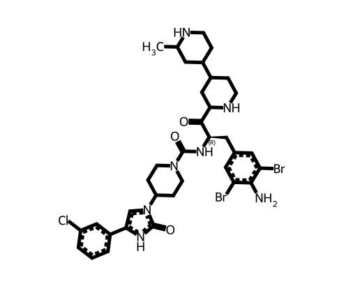 CC1CC(C2CCNC(C(=O)[C@@H](Cc3cc(Br)c(N)c(Br)c3)NC(=O)N3CCC(n4cc(-c5cccc(Cl)c5)[nH]c4=O)CC3)C2)CCN1